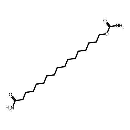 NC(=O)CCCCCCCCCCCCCCCCOC(N)=O